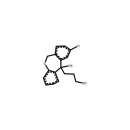 N#CC1(CCCN=O)c2cc(Cl)ccc2COc2ccccc21